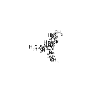 CCc1cnc(Nc2cc(N3CCN(C)CC3)nc(Oc3c(F)cc4[nH]c(C)cc4c3F)n2)s1